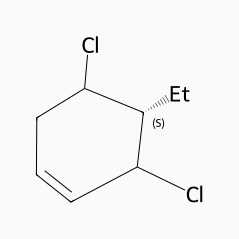 CC[C@@H]1C(Cl)C=CCC1Cl